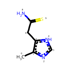 Cc1nc[nH]c1CC(N)=S